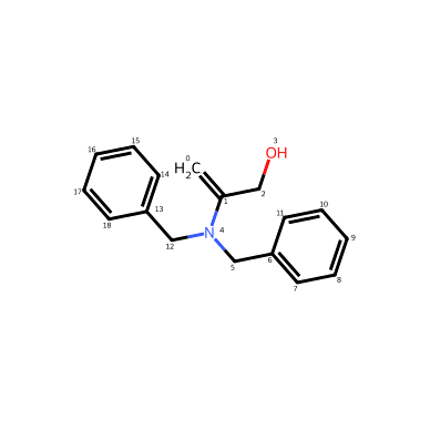 C=C(CO)N(Cc1ccccc1)Cc1ccccc1